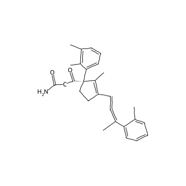 CC(=C=CC1=C(C)[C@](C(=O)CC(N)=O)(c2cccc(C)c2C)CC1)c1ccccc1C